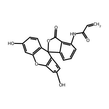 C=CC(=O)Nc1cccc2c1C(=O)OC21c2ccc(O)cc2Oc2cc(O)ccc21